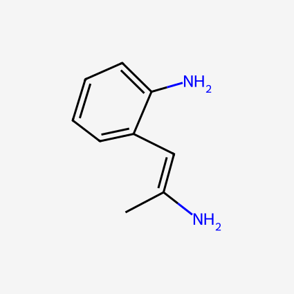 C/C(N)=C\c1ccccc1N